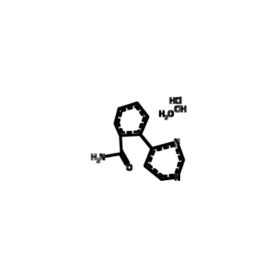 Cl.Cl.NC(=O)c1ccccc1-c1ccncn1.O